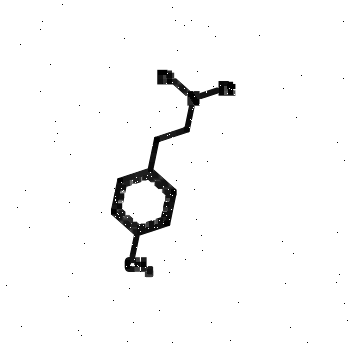 CCN(CC)CCc1ccc(C)cc1